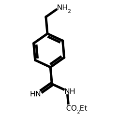 CCOC(=O)NC(=N)c1ccc(CN)cc1